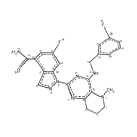 CN1CCCc2nc(-n3ncc4c(C(N)=O)cc(F)cc43)nc(NCc3cccc(F)c3)c21